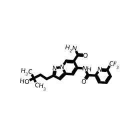 CC(C)(O)CCc1cc2cc(NC(=O)c3cccc(C(F)(F)F)n3)c(C(N)=O)cn2n1